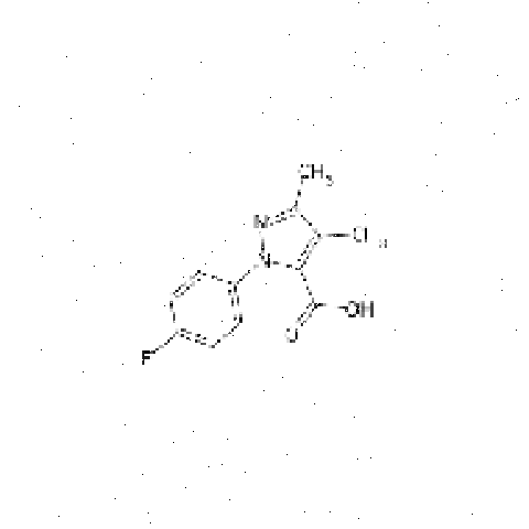 Cc1nn(-c2ccc(F)cc2)c(C(=O)O)c1C